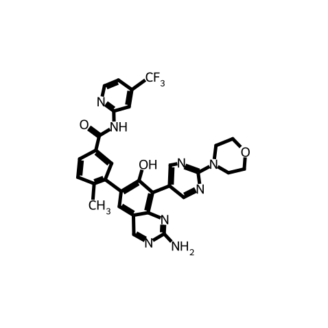 Cc1ccc(C(=O)Nc2cc(C(F)(F)F)ccn2)cc1-c1cc2cnc(N)nc2c(-c2cnc(N3CCOCC3)nc2)c1O